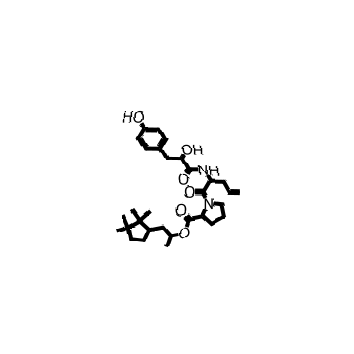 C=CCC(NC(=O)C(O)Cc1ccc(O)cc1)C(=O)N1CCCC1C(=O)OC(C)CC1CCC(C)(C)C1(C)C